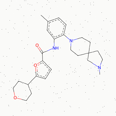 Cc1ccc(N2CCC3(CCN(C)C3)CC2)c(NC(=O)c2ccc(C3CCOCC3)o2)c1